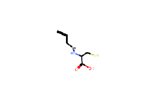 C=CC[Se]NC(CS)C(=O)O